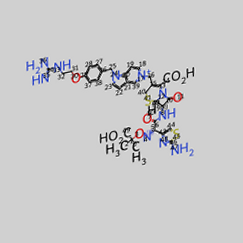 CC(C)(O/N=C(\C(=O)N[C@@H]1C(=O)N2C(C(=O)O)=C(C[n+]3ccc4c(ccn4Cc4ccc(OCCNC(=N)N)cc4)c3)CS[C@H]12)c1csc(N)n1)C(=O)O